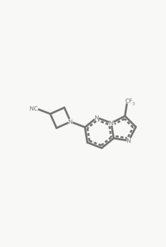 N#CC1CN(c2ccc3ncc(C(F)(F)F)n3n2)C1